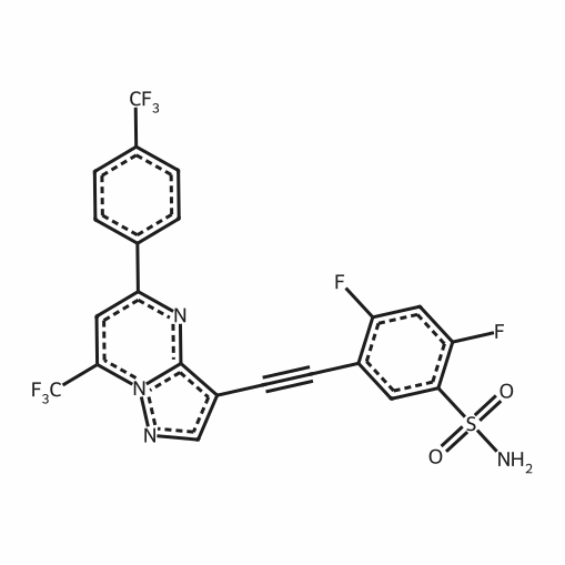 NS(=O)(=O)c1cc(C#Cc2cnn3c(C(F)(F)F)cc(-c4ccc(C(F)(F)F)cc4)nc23)c(F)cc1F